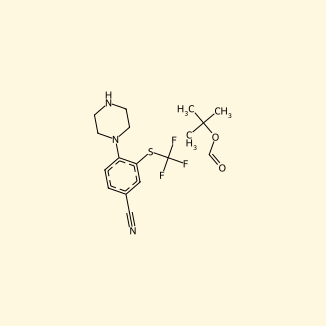 CC(C)(C)OC=O.N#Cc1ccc(N2CCNCC2)c(SC(F)(F)F)c1